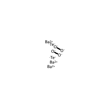 [Ba+2].[Ba+2].[Ba+2].[O-][O-].[O-][O-].[Te-].[Te-]